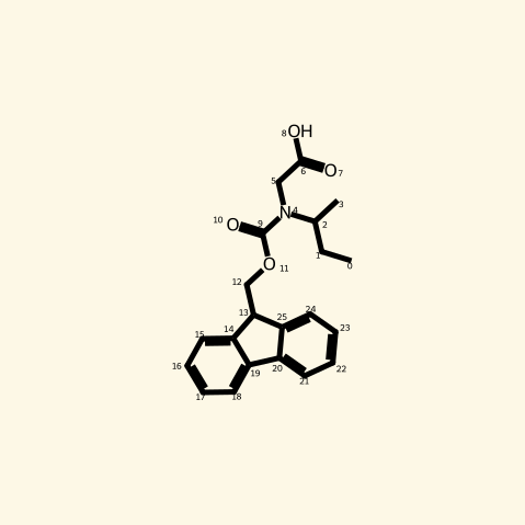 CCC(C)N(CC(=O)O)C(=O)OCC1c2ccccc2-c2ccccc21